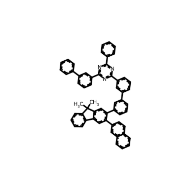 CC1(C)c2ccccc2-c2cc(-c3ccc4ccccc4c3)c(-c3cccc(-c4cccc(-c5nc(-c6ccccc6)nc(-c6cccc(-c7ccccc7)c6)n5)c4)c3)cc21